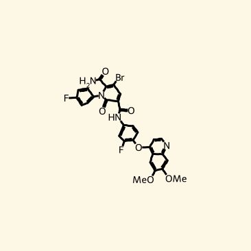 COc1cc2nccc(Oc3ccc(NC(=O)c4cc(Br)c(C(N)=O)n(-c5ccc(F)cc5)c4=O)cc3F)c2cc1OC